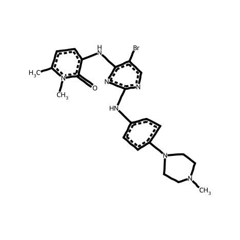 Cc1ccc(Nc2nc(Nc3ccc(N4CCN(C)CC4)cc3)ncc2Br)c(=O)n1C